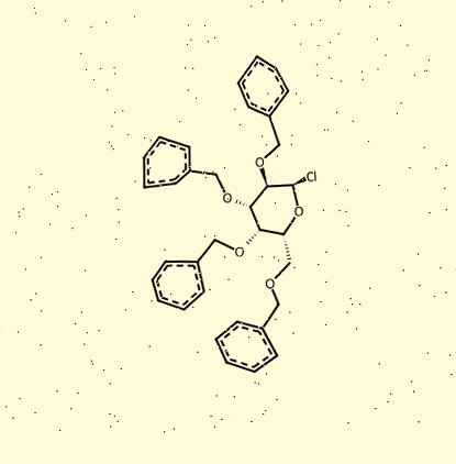 Cl[C@H]1O[C@H](COCc2ccccc2)[C@H](OCc2ccccc2)[C@H](OCc2ccccc2)[C@H]1OCc1ccccc1